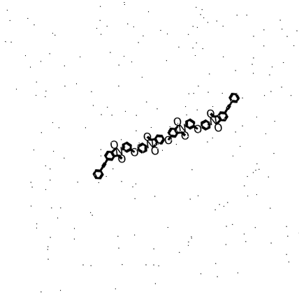 O=C1c2ccc(C#Cc3ccccc3)cc2C(=O)N1c1ccc(Oc2cccc(N3C(=O)c4ccc(Oc5ccc6c(c5)C(=O)N(c5ccc(Oc7cccc(N8C(=O)c9ccc(C#Cc%10ccccc%10)cc9C8=O)c7)cc5)C6=O)cc4C3=O)c2)cc1